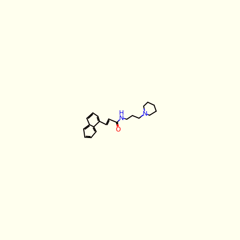 O=C(/C=C/c1cccc2ccccc12)NCCCN1CCCCC1